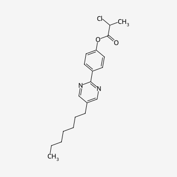 CCCCCCCc1cnc(-c2ccc(OC(=O)C(C)Cl)cc2)nc1